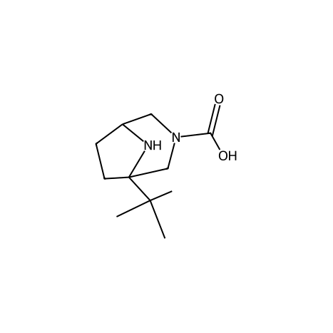 CC(C)(C)C12CCC(CN(C(=O)O)C1)N2